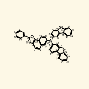 c1ccc(-c2nc3ccc4cc(N(c5ccc6c(c5)sc5ccccc56)c5ccc6sc7ccccc7c6c5)ccc4c3o2)cc1